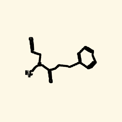 CN(CC=O)C(=O)CCc1ccccc1